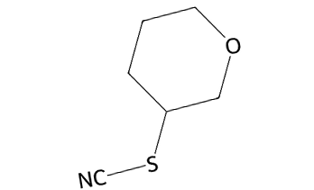 N#CSC1CCCOC1